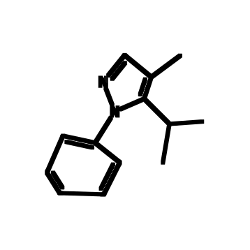 Cc1cnn(-c2ccccc2)c1C(C)C